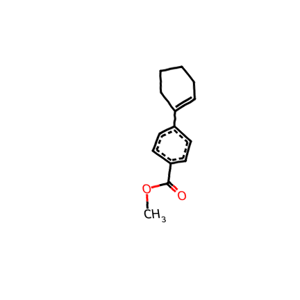 COC(=O)c1ccc(C2=CCCCC2)cc1